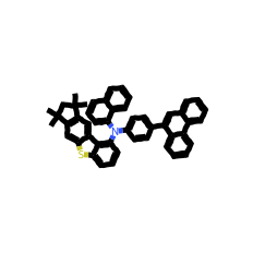 CC1(C)CC(C)(C)c2cc3c(cc21)sc1cccc(N(c2ccc(-c4cc5ccccc5c5ccccc45)cc2)c2cccc4ccccc24)c13